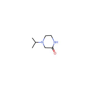 CC(C)N1CCNC(=O)C1